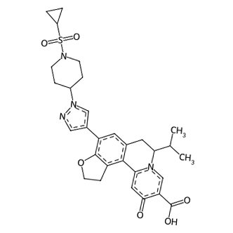 CC(C)C1Cc2cc(-c3cnn(C4CCN(S(=O)(=O)C5CC5)CC4)c3)c3c(c2-c2cc(=O)c(C(=O)O)cn21)CCO3